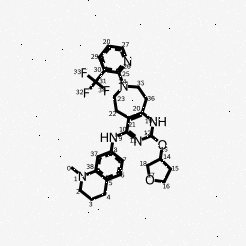 CN1CCCc2ccc(NC3=NC(OC4CCOC4)NC4=C3CCN(c3ncccc3C(F)(F)F)CC4)cc21